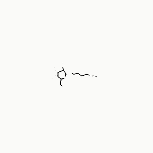 CSCCCCCO[C@@H]1OC(CO)[C@H](O)[C@H](O)C1O